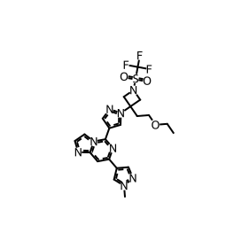 CCOCCC1(n2cc(-c3nc(-c4cnn(C)c4)cc4nccn34)cn2)CN(S(=O)(=O)C(F)(F)F)C1